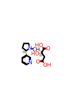 CN1CCC[C@H]1c1cccnc1.O=C(O)C[C@H](O)C(=O)O